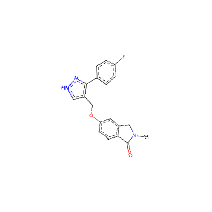 CCN1Cc2cc(OCc3c[nH]nc3-c3ccc(F)cc3)ccc2C1=O